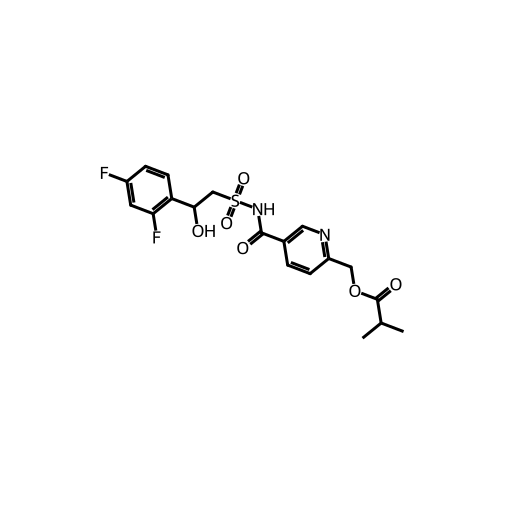 CC(C)C(=O)OCc1ccc(C(=O)NS(=O)(=O)CC(O)c2ccc(F)cc2F)cn1